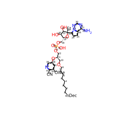 CCCCCCCCCCCCCCCCCCOC[C@H](COP(=O)(O)OC[C@H]1O[C@@](CC)(c2ccc3c(N)ncnn23)[C@H](O)[C@@H]1O)Oc1cnc(C#N)c(OC)c1